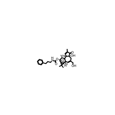 CC1=C[C@H]2[C@@]3(O)[C@H](C)[C@@H](OC(=O)NCCCc4ccccc4)[C@]4(O)[C@@H]([C@@H]3C=C(CO)C[C@]2(O)C1=O)C4(C)C